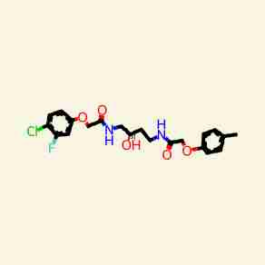 Cc1ccc(OCC(=O)NCC[C@H](O)CNC(=O)COc2ccc(Cl)c(F)c2)cc1